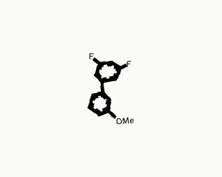 COc1cccc(-c2cc(F)cc(F)c2)c1